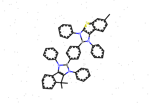 Cc1ccc2c3c(sc2c1)N(c1ccccc1)B(c1ccc(B2N(c4ccccc4)C4=C(N2c2ccccc2)C(C)(C)c2ccccc24)cc1)N3c1ccccc1